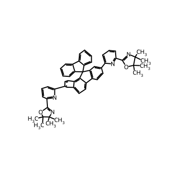 CC1(C)N=C(c2cccc(-c3ccc4c(c3)C3(c5ccccc5-c5ccccc53)c3c-4ccc4cc(-c5cccc(C6=NC(C)(C)C(C)(C)O6)n5)ccc34)n2)OC1(C)C